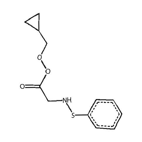 O=C(CNSc1ccccc1)OOCC1CC1